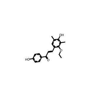 CCOc1c(C=CC(=O)c2ccc(O)cc2)cc(C)c(O)c1C